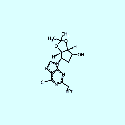 CCCSc1nc(Cl)c2ncn([C@@H]3C[C@H](O)[C@H]4OC(C)(C)O[C@H]43)c2n1